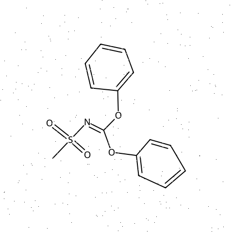 CS(=O)(=O)N=C(Oc1ccccc1)Oc1ccccc1